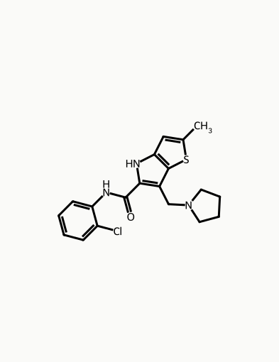 Cc1cc2[nH]c(C(=O)Nc3ccccc3Cl)c(CN3CCCC3)c2s1